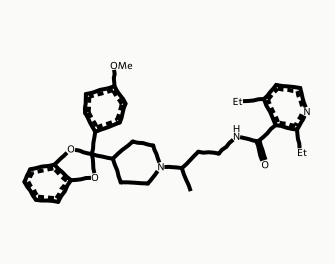 CCc1ccnc(CC)c1C(=O)NCCC(C)N1CCC(C2(c3ccc(OC)cc3)Oc3ccccc3O2)CC1